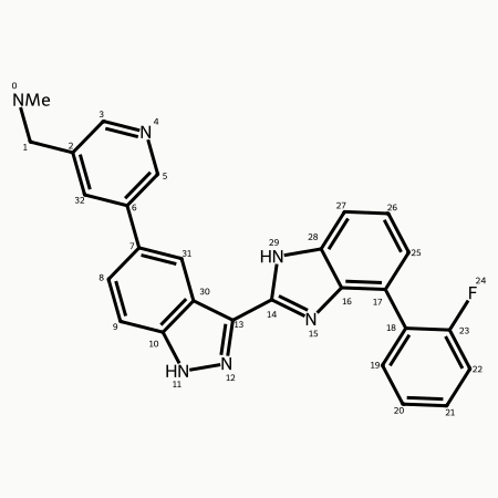 CNCc1cncc(-c2ccc3[nH]nc(-c4nc5c(-c6ccccc6F)cccc5[nH]4)c3c2)c1